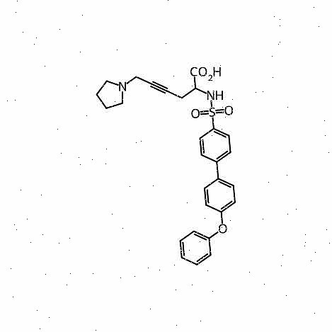 O=C(O)C(CC#CCN1CCCC1)NS(=O)(=O)c1ccc(-c2ccc(Oc3ccccc3)cc2)cc1